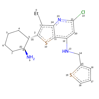 CCc1c([C@H]2CCCC[C@@H]2N)sc2c(NCc3cccs3)cc(Cl)nc12